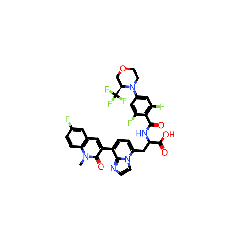 Cn1c(=O)c(-c2ccc(CC(NC(=O)c3c(F)cc(N4CCOC[C@@H]4C(F)(F)F)cc3F)C(=O)O)n3ccnc23)cc2cc(F)ccc21